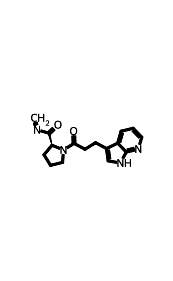 C=NC(=O)[C@@H]1CCCN1C(=O)CCc1c[nH]c2ncccc12